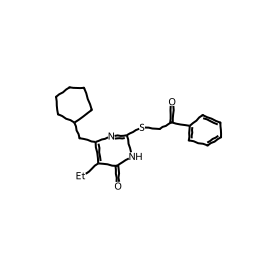 CCc1c(CC2CCCCC2)nc(SCC(=O)c2ccccc2)[nH]c1=O